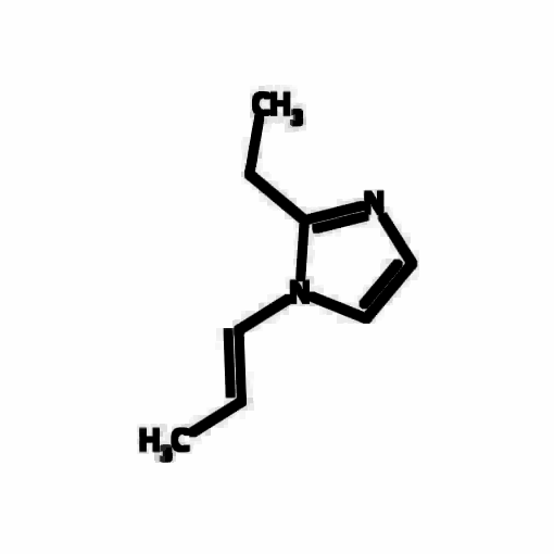 CC=Cn1ccnc1CC